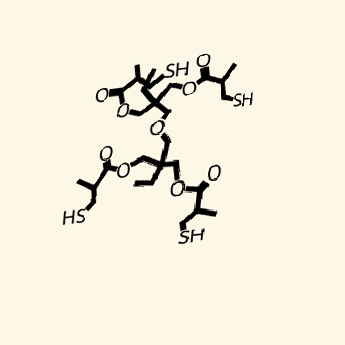 CCC(COCC(CC)(COC(=O)C(C)CS)COC(=O)C(C)CS)(COC(=O)C(C)CS)COC(=O)C(C)CS